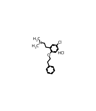 CN(C)CCc1cc(Cl)ccc1OCCc1ccccc1.Cl